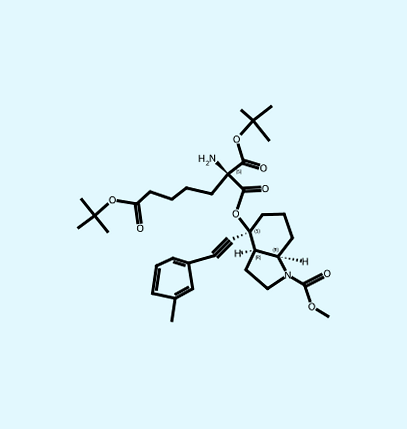 COC(=O)N1CC[C@@H]2[C@H]1CCC[C@]2(C#Cc1cccc(C)c1)OC(=O)[C@](N)(CCCCC(=O)OC(C)(C)C)C(=O)OC(C)(C)C